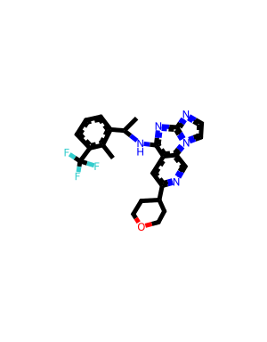 Cc1c(C(C)Nc2nc3nccn3c3cnc(C4CCOCC4)cc23)cccc1C(F)(F)F